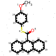 COc1ccc(SC(=O)c2c3ccccc3cc3ccccc23)cc1